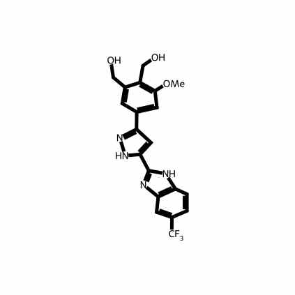 COc1cc(-c2cc(-c3nc4cc(C(F)(F)F)ccc4[nH]3)[nH]n2)cc(CO)c1CO